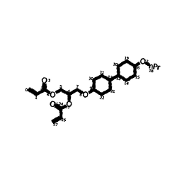 C=CC(=O)OCC(COC1CCC(C2CCC(OCCC)CC2)CC1)OC(=O)C=C